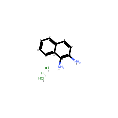 Cl.Cl.Cl.Nc1ccc2ccccc2c1N